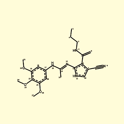 C=C(NCCC)c1c(C#N)c[nH]c1/N=C(\C)Nc1cc(OC)c(OC)c(OC)c1